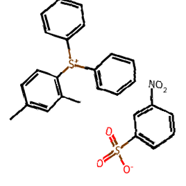 Cc1ccc([S+](c2ccccc2)c2ccccc2)c(C)c1.O=[N+]([O-])c1cccc(S(=O)(=O)[O-])c1